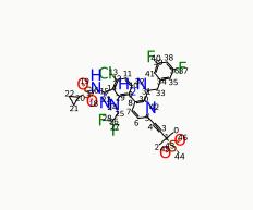 CC(C)(C#Cc1ccc(-c2ccc(Cl)c3c(NS(=O)(=O)C4CC4)nn(CC(F)F)c23)c([C@@H](N)Cc2cc(F)cc(F)c2)n1)S(C)(=O)=O